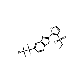 CCS(=O)(=O)c1ccsc1-c1nc2cc(C(F)(F)C(F)(F)F)ccc2o1